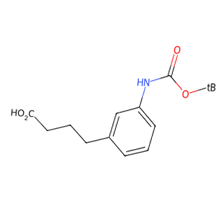 CC(C)(C)OC(=O)Nc1cccc(CCCC(=O)O)c1